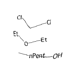 CCCCCC.CCOCC.CO.ClCCl